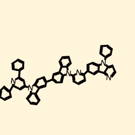 c1ccc(-c2cc(-n3c4ccccc4c4cc(-c5ccc6c(c5)c5ccccc5n6-c5cccc(-c6ccc7c(c6)c6ncccc6n7-c6ccccc6)n5)ccc43)cc(-c3ccccc3)n2)cc1